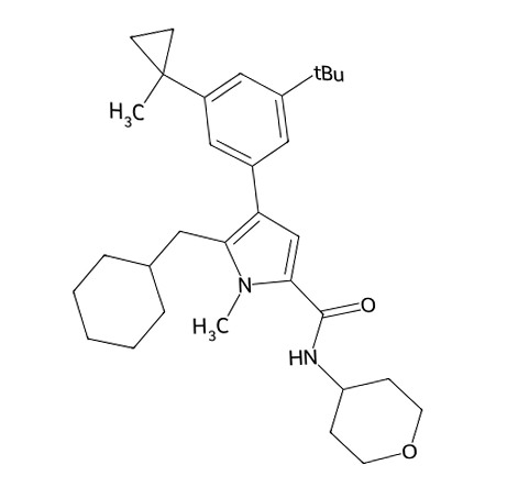 Cn1c(C(=O)NC2CCOCC2)cc(-c2cc(C(C)(C)C)cc(C3(C)CC3)c2)c1CC1CCCCC1